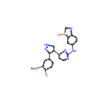 COc1cc(-c2n[nH]cc2-c2ccnc(Nc3ccc4nc[s+]([O-])c4c3)n2)ccc1Cl